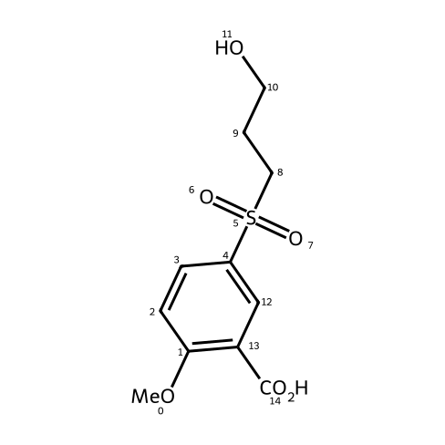 COc1ccc(S(=O)(=O)CCCO)cc1C(=O)O